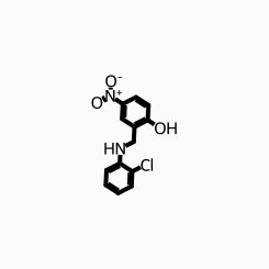 O=[N+]([O-])c1ccc(O)c(CNc2ccccc2Cl)c1